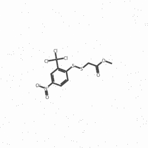 COC(=O)CSSc1ccc([N+](=O)[O-])cc1C(Cl)(Cl)Cl